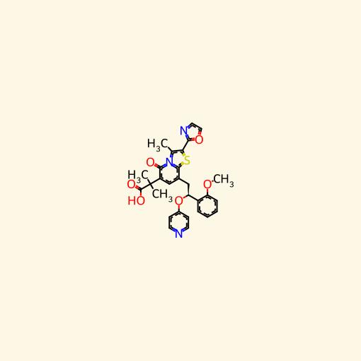 COc1ccccc1[C@H](Cc1cc(C(C)(C)C(=O)O)c(=O)n2c(C)c(-c3ncco3)sc12)Oc1ccncc1